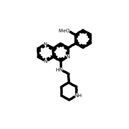 COc1ccccc1-c1cc2nccnc2c(NCC2CCCNC2)n1